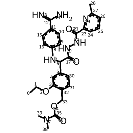 CCOc1cc(C(Nc2ccc(C(=N)N)cc2)C(=O)NNC(=O)c2cccc(C)n2)ccc1COC(=O)N(C)C